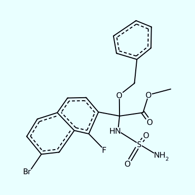 COC(=O)C(NS(N)(=O)=O)(OCc1ccccc1)c1ccc2ccc(Br)cc2c1F